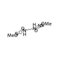 CO[Si](C)(C)CC1CCC(C(=O)NCCCCCCNC(=O)C2CCN(C[Si](C)(C)OC)CC2)CC1